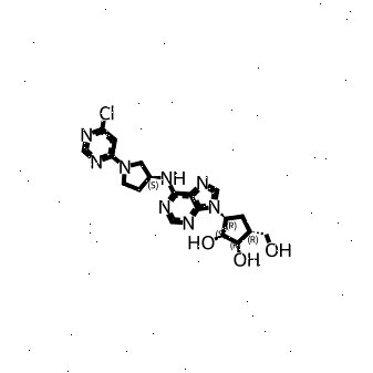 OC[C@H]1C[C@@H](n2cnc3c(N[C@H]4CCN(c5cc(Cl)ncn5)C4)ncnc32)[C@H](O)[C@@H]1O